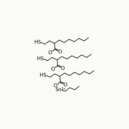 CCCCCCCC(CCS)C(=O)[O-].CCCCCCCC(CCS)C(=O)[O-].CCCCCCCC(CCS)C(=O)[O-].CCC[CH2][Sn+3]